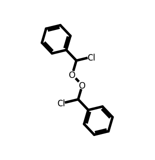 ClC(OOC(Cl)c1ccccc1)c1ccccc1